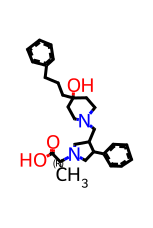 C[C@H](C(=O)O)N1CC(CN2CCC(O)(CCCc3ccccc3)CC2)C(c2ccccc2)C1